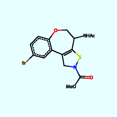 COC(=O)N1CC2=C(S1)C(NC(C)=O)COc1ccc(Br)cc12